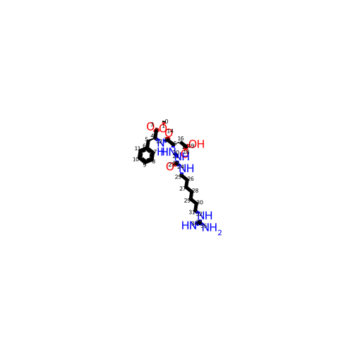 COC(=O)[C@H](Cc1ccccc1)NC(=O)[C@H](CC(=O)O)NNC(=O)NCCCCCCCNC(=N)N